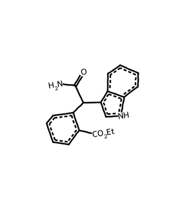 CCOC(=O)c1ccccc1C(C(N)=O)c1c[nH]c2ccccc12